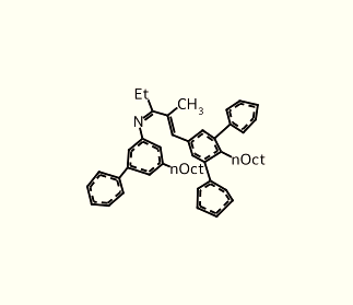 CCCCCCCCc1cc(N=C(CC)C(C)=Cc2cc(-c3ccccc3)c(CCCCCCCC)c(-c3ccccc3)c2)cc(-c2ccccc2)c1